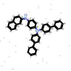 C1=CCCC(c2ccc(N(c3ccc(Nc4ccc5ccccc5c4)cc3)c3ccc(-c4ccccc4)cc3)cc2)=C1